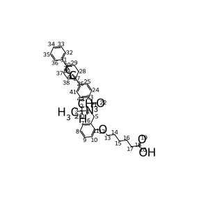 [2H]C(C)(C)N(Cc1ccccc1OCCCCCC(=O)O)C(=O)c1ccc(C23CCC(c4ccccc4)(CC2)CC3)cc1